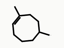 [CH2]C1CCCC=C(C)CC1